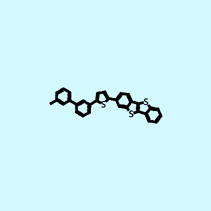 Cc1cccc(-c2cccc(-c3ccc(-c4ccc5c(c4)sc4c6ccccc6sc54)s3)c2)c1